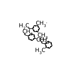 C=Cc1ccc(C)cc1.C=Cc1cccc(C)c1.C=Cc1ccccc1C.[CH3]